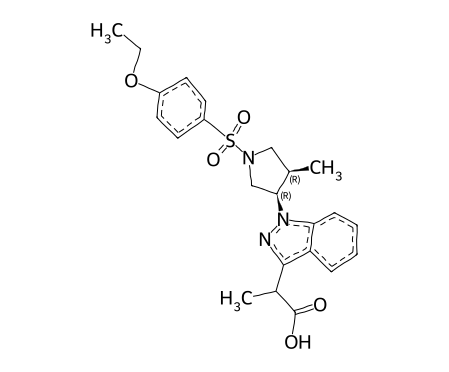 CCOc1ccc(S(=O)(=O)N2C[C@@H](C)[C@@H](n3nc(C(C)C(=O)O)c4ccccc43)C2)cc1